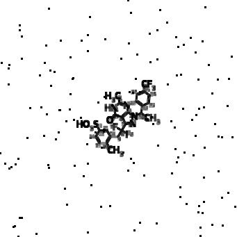 Cc1nc2c(c(C(F)(F)Cc3cc(S(=O)(=O)O)ccc3C)nn2C(C)c2ccc(C(F)(F)F)cc2)c(=O)[nH]1